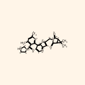 Cc1cc(C(F)(F)F)nc(-c2ccnc3cc(CN4C(=O)C5C(C4=O)C5(C)C)sc23)c1C(=O)N1CCNC1